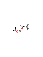 CC(C)[O][Al+][O]C(C)C.[H-].[H-].[Li+]